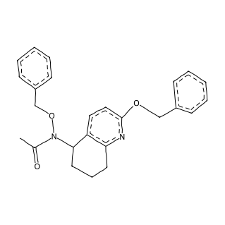 CC(=O)N(OCc1ccccc1)C1CCCc2nc(OCc3ccccc3)ccc21